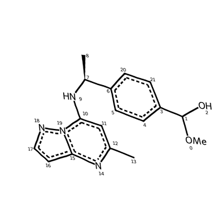 COC(O)c1ccc([C@H](C)Nc2cc(C)nc3ccnn23)cc1